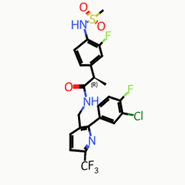 C[C@@H](C(=O)NCc1ccc(C(F)(F)F)nc1-c1ccc(F)c(Cl)c1)c1ccc(NS(C)(=O)=O)c(F)c1